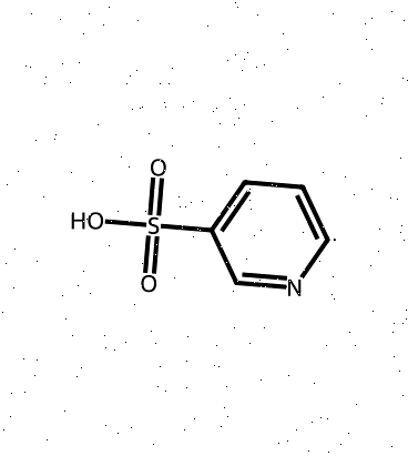 O=S(=O)(O)c1cc[c]nc1